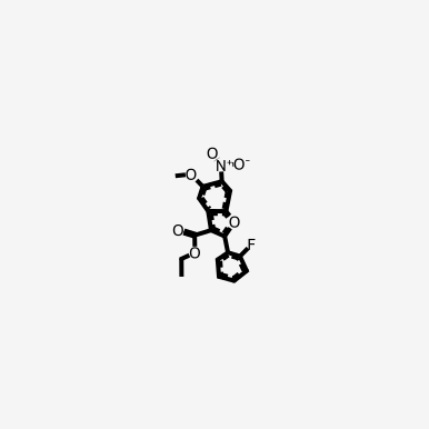 CCOC(=O)c1c(-c2ccccc2F)oc2cc([N+](=O)[O-])c(OC)cc12